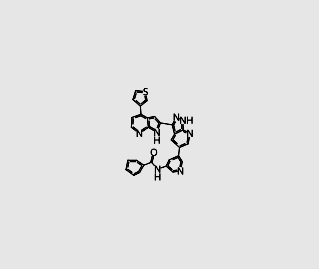 O=C(Nc1cncc(-c2cnc3[nH]nc(-c4cc5c(-c6ccsc6)ccnc5[nH]4)c3c2)c1)c1ccccc1